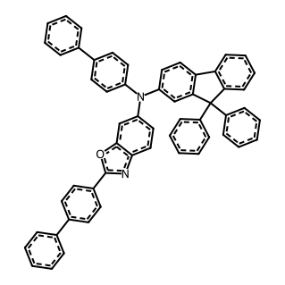 c1ccc(-c2ccc(-c3nc4ccc(N(c5ccc(-c6ccccc6)cc5)c5ccc6c(c5)C(c5ccccc5)(c5ccccc5)c5ccccc5-6)cc4o3)cc2)cc1